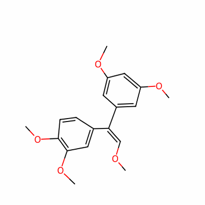 COC=C(c1cc(OC)cc(OC)c1)c1ccc(OC)c(OC)c1